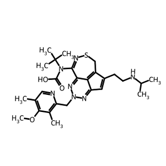 COc1c(C)cnc(Cn2nc3cc(CCNC(C)C)c4c-3c(n2)C(N(C(=O)O)C(C)(C)C)=NSC4)c1C